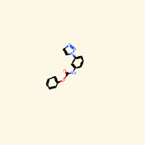 O=C(Nc1cccc(-n2ccnn2)c1)Oc1ccccc1